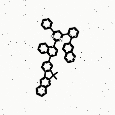 CC1(C)c2cc(-c3ccc(-c4nc(-c5ccccc5)cc(-c5ccccc5-c5ccc6ccccc6c5)n4)c4ccccc34)ccc2-c2cc3ccccc3cc21